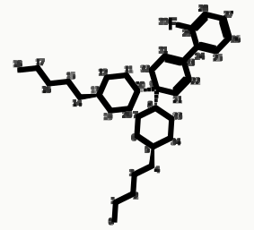 CCCCC[C@H]1CC[C@H](C2([C@H]3CC[C@H](CCCCC)CC3)C=CC(c3ccccc3F)=CC2)CC1